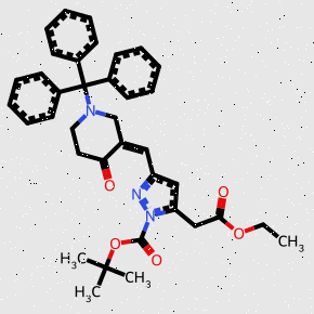 CCOC(=O)Cc1cc(/C=C2/CN(C(c3ccccc3)(c3ccccc3)c3ccccc3)CCC2=O)nn1C(=O)OC(C)(C)C